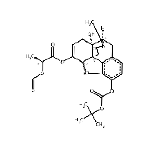 C[C@H](OC=O)C(=O)OC1=CC[C@@]2(O)[C@H]3Cc4ccc(OC(=O)OC(C)(C)C)c5c4[C@@]2(CCN3C)[C@H]1O5